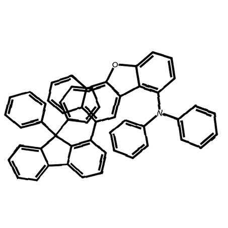 c1ccc(N(c2ccccc2)c2cccc3oc4c5ccccc5c(-c5cccc6c5C(c5ccccc5)(c5ccccc5)c5ccccc5-6)cc4c23)cc1